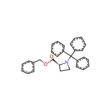 O=C(OCc1ccccc1)[C@@H]1CCN1C(c1ccccc1)(c1ccccc1)c1ccccc1